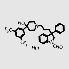 Cl.O=CNCC(CCCN1CCC(O)(c2cc(C(F)(F)F)cc(C(F)(F)F)c2)CC1)(c1ccccc1)c1ccccc1